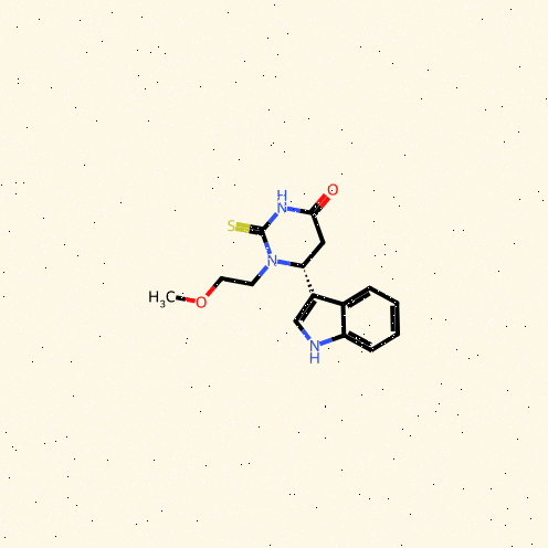 COCCN1C(=S)NC(=O)C[C@@H]1c1c[nH]c2ccccc12